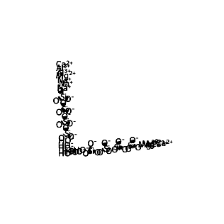 O=[Si]([O-])[O-].O=[Si]([O-])[O-].O=[Si]([O-])[O-].O=[Si]([O-])[O-].O=[Si]([O-])[O-].O=[Si]([O-])[O-].O=[Si]([O-])[O-].O=[Si]([O-])[O-].[Al+3].[Al+3].[Al+3].[Ca+2].[Ca+2].[Ca+2].[Mg+2].[Mg+2].[Mg+2].[Na+].[Na+].[Na+].[OH-].[OH-].[OH-].[OH-].[OH-].[OH-].[OH-].[OH-]